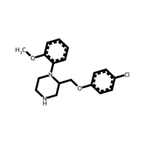 COc1ccccc1N1CCNCC1COc1ccc(Cl)cc1